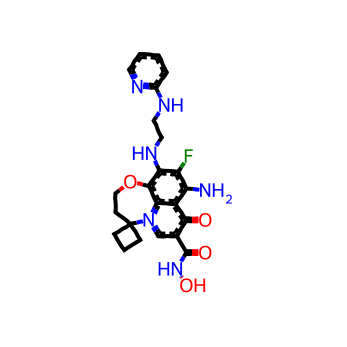 Nc1c(F)c(NCCNc2ccccn2)c2c3c1c(=O)c(C(=O)NO)cn3C1(CCC1)CCO2